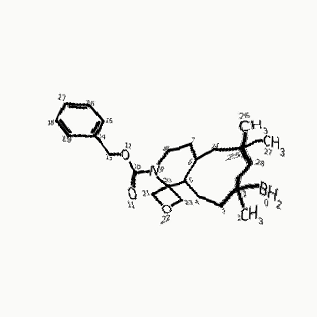 BC1(C)CCC2C(CCN(C(=O)OCc3ccccc3)C23COC3)CC(C)(C)C1